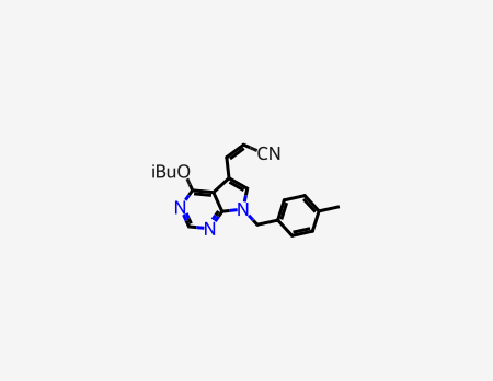 Cc1ccc(Cn2cc(/C=C\C#N)c3c(OCC(C)C)ncnc32)cc1